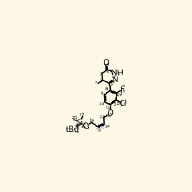 CC1CC(=O)NN=C1c1ccc(OC/C=C\CO[Si](C)(C)C(C)(C)C)c(Cl)c1F